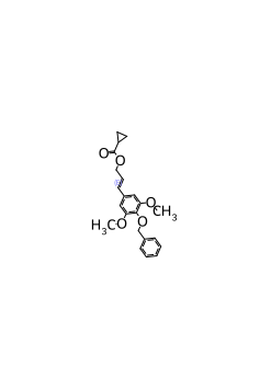 COc1cc(/C=C/COC(=O)C2CC2)cc(OC)c1OCc1ccccc1